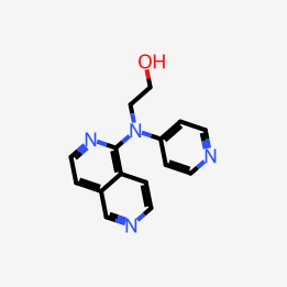 OCCN(c1ccncc1)c1nccc2cnccc12